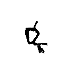 CCCN(C)c1cccc(C)c1